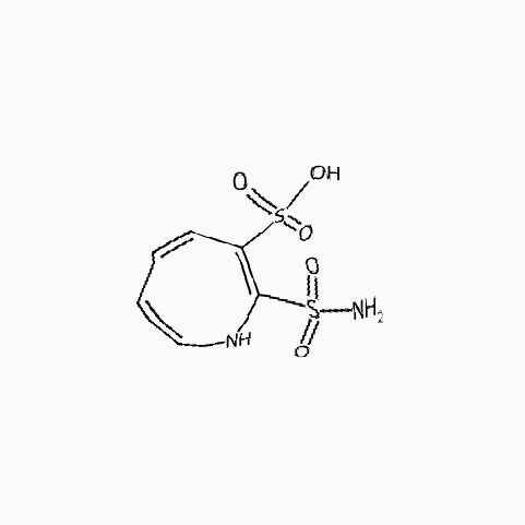 NS(=O)(=O)C1=C(S(=O)(=O)O)C=CC=CN1